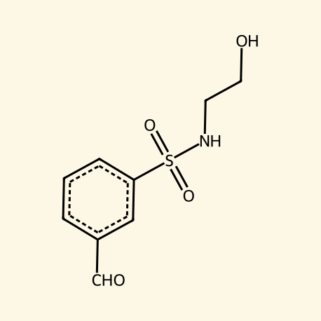 O=Cc1cccc(S(=O)(=O)NCCO)c1